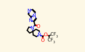 O=C(OC(C(F)(F)F)C(F)(F)F)N1CCC2(CCCN2C(=O)c2cn3ccncc3n2)CC1